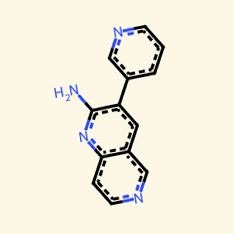 Nc1nc2ccncc2cc1-c1cccnc1